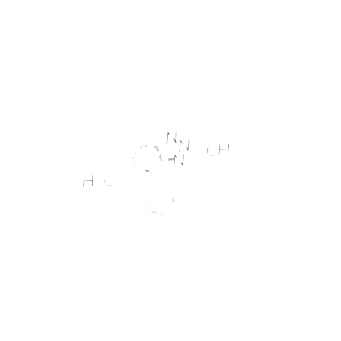 CCc1ccc2nn(CC)nc2c1-c1ccccc1